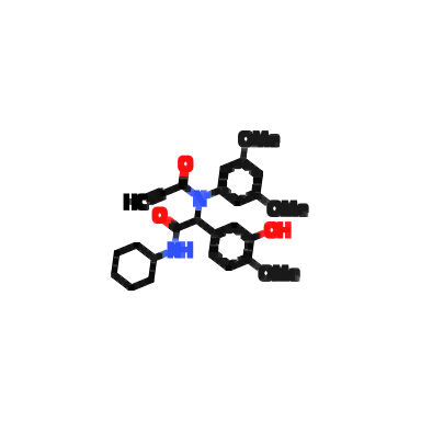 C#CC(=O)N(c1cc(OC)cc(OC)c1)C(C(=O)NC1CCCCC1)c1ccc(OC)c(O)c1